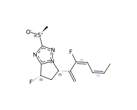 C=C(/C(F)=C\C=C/C)[C@@H]1C[C@H](F)c2nc([S@+](C)[O-])nn21